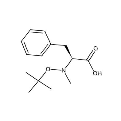 CN(OC(C)(C)C)[C@@H](Cc1ccccc1)C(=O)O